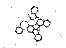 Cc1nc(C2CCc3ccccc3-c3cc4c5ccccc5n5c6c7ccccc7ccc6c(c32)c45)nc2ccccc12